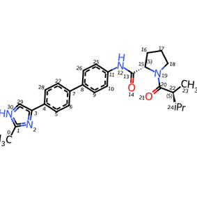 Cc1nc(-c2ccc(-c3ccc(NC(=O)[C@@H]4CCCN4C(=O)[C@@H](C)C(C)C)cc3)cc2)c[nH]1